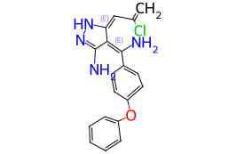 C=C(Cl)/C=c1/[nH]nc(N)/c1=C(/N)c1ccc(Oc2ccccc2)cc1